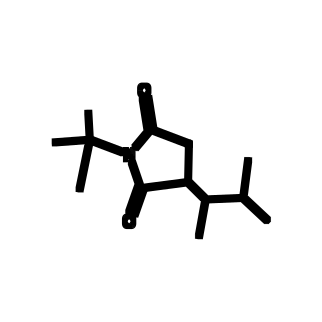 CC(C)C(C)C1CC(=O)N(C(C)(C)C)C1=O